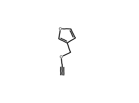 [C]#COCc1ccoc1